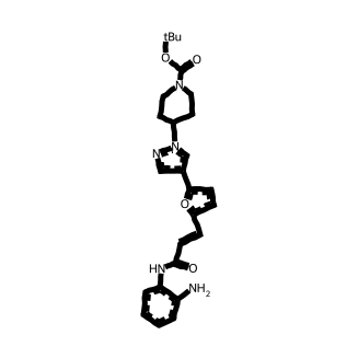 CC(C)(C)OC(=O)N1CCC(n2cc(-c3ccc(C=CC(=O)Nc4ccccc4N)o3)cn2)CC1